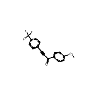 COc1ccc(C(=O)C#Cc2ccc(C(F)(F)F)cc2)cc1